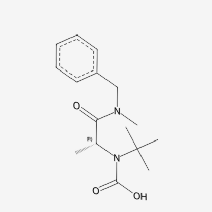 C[C@H](C(=O)N(C)Cc1ccccc1)N(C(=O)O)C(C)(C)C